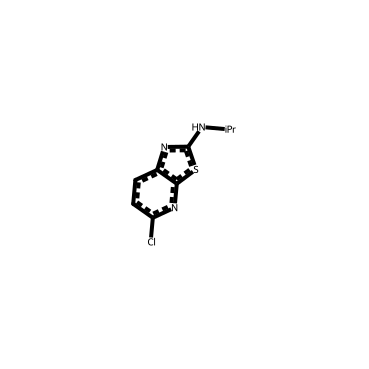 CC(C)Nc1nc2ccc(Cl)nc2s1